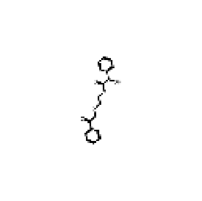 O=C(COCCOC(=O)C(O)c1ccccc1)c1ccccc1